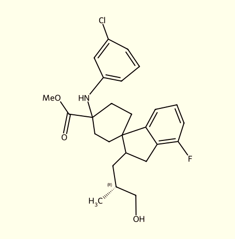 COC(=O)C1(Nc2cccc(Cl)c2)CCC2(CC1)c1cccc(F)c1CC2C[C@@H](C)CO